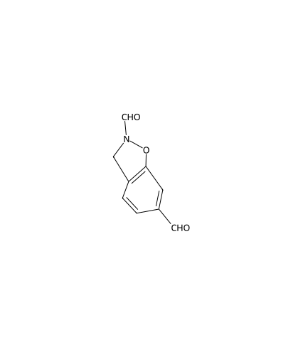 O=Cc1ccc2c(c1)ON(C=O)C2